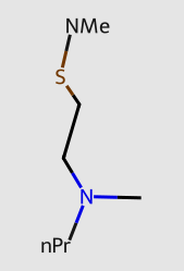 CCCN(C)CCSNC